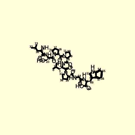 CC(C)C[C@H](NC(=O)[C@@H]1CCCN1C(=O)[C@@H]1CCCN1C(=O)[C@H](CO)NC(=O)[C@@H](N)CC(C)C)C(=O)N1CCC[C@H]1C(=O)NCC(=O)N[C@@H](Cc1c[nH]c2ccccc12)C(=O)O